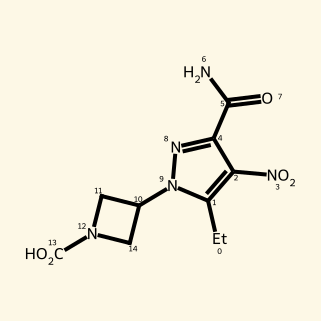 CCc1c([N+](=O)[O-])c(C(N)=O)nn1C1CN(C(=O)O)C1